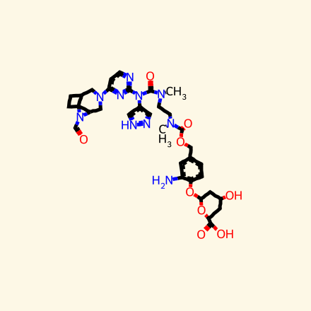 CN(CCN(C)C(=O)N(c1cn[nH]c1)c1nccc(N2CC3CCC34C(C2)N4C=O)n1)C(=O)OCc1ccc(OC2CC(O)CC(C(=O)O)O2)c(N)c1